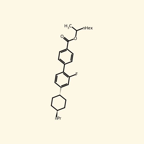 CCCCCCC(C)OC(=O)c1ccc(-c2ccc([C@H]3CC[C@H](CCC)CC3)cc2F)cc1